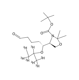 [2H]C([2H])([2H])C([2H])(O[C@H](CCCC=O)[C@@H]1COC(C)(C)N1C(=O)OC(C)(C)C)C([2H])([2H])[2H]